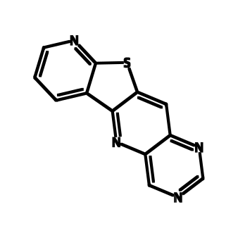 c1cnc2sc3cc4ncncc4nc3c2c1